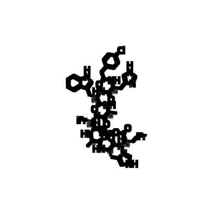 COC(=O)[C@H](CC(C)C)NC(=O)[C@H](Cc1c[nH]cn1)NC(=O)[C@@H](C)NC(=O)[C@@H](NC(=O)[C@H](C)NC(=O)[C@H](Cc1c[nH]c2ccccc12)NC(=O)[C@H](Cc1c[nH]cn1)NC(=O)Cc1ccc(Cl)cc1)C(C)C